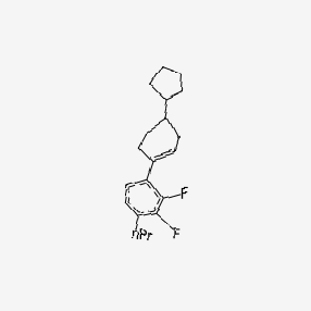 CCCc1ccc(C2=CCC(C3CCCC3)CC2)c(F)c1F